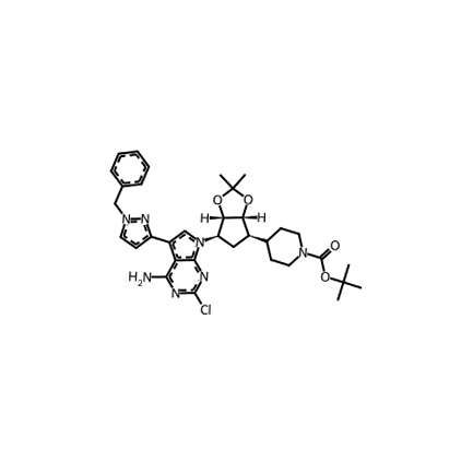 CC(C)(C)OC(=O)N1CCC([C@H]2C[C@@H](n3cc(-c4ccn(Cc5ccccc5)n4)c4c(N)nc(Cl)nc43)[C@@H]3OC(C)(C)O[C@@H]32)CC1